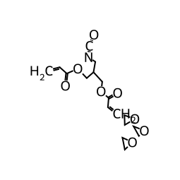 C1CO1.C1CO1.C1CO1.C=CC(=O)OCC(CN=C=O)COC(=O)C=C